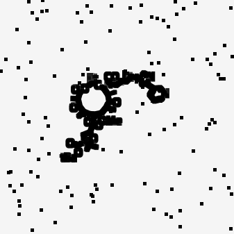 CCOC(=O)N(CCCCn1cnc(-c2cccnc2)c1)[C@H]1CC(CC)OC(=O)C(C)C(=O)C(C)[C@@H](OC(=O)C2CN(C(=O)OC(C)(C)C)C(C)(C)O2)[C@@](C)(OC)CC(C)C(=O)[C@@H]1C